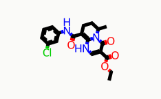 CCOC(=O)C1=CNC2=C(C(=O)Nc3cccc(Cl)c3)CCC(C)N2C1=O